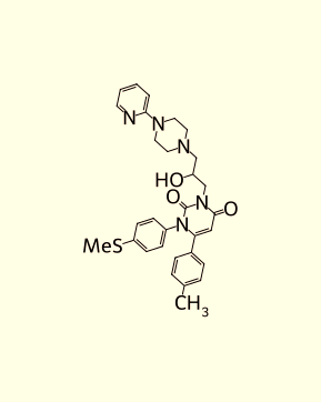 CSc1ccc(-n2c(-c3ccc(C)cc3)cc(=O)n(CC(O)CN3CCN(c4ccccn4)CC3)c2=O)cc1